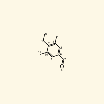 CCc1c(C)cc(C=O)cc1C